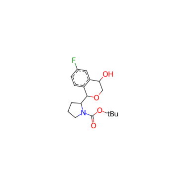 CC(C)(C)OC(=O)N1CCCC1C1OCC(O)c2cc(F)ccc21